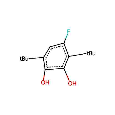 CC(C)(C)c1cc(F)c(C(C)(C)C)c(O)c1O